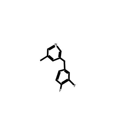 Cc1cncc([CH]c2ccc(F)c(F)c2)c1